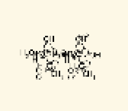 CNCC(=O)C1C[C@@H](O)CC2C[C@@H](O)C3C(CC[C@@]4(C)C3CC[C@@H]4[C@H](C)CCC(=O)[O-])[C@]21C.CNCC(=O)C1C[C@@H](O)CC2C[C@@H](O)C3C(CC[C@@]4(C)C3CC[C@@H]4[C@H](C)CCC(=O)[O-])[C@]21C.[Fe+2]